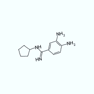 N=C(NC1CCCC1)c1ccc(N)c(N)c1